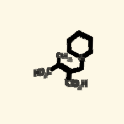 CC(C(=O)O)=C(CN1CCCCC1)C(=O)O